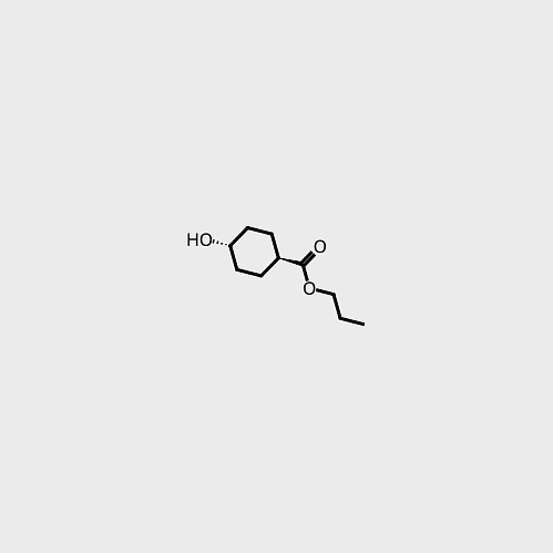 CCCOC(=O)[C@H]1CC[C@H](O)CC1